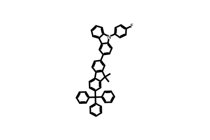 CC1(C)c2cc(-c3ccc4c(c3)c3ccccc3n4-c3ccc(F)cc3)ccc2-c2ccc(C(c3ccccc3)(c3ccccc3)c3ccccc3)cc21